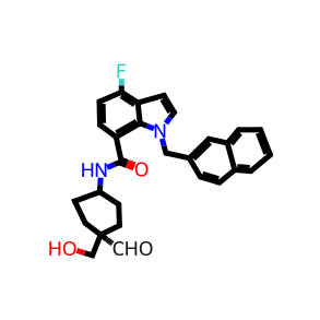 O=CC1(CO)CCC(NC(=O)c2ccc(F)c3ccn(Cc4ccc5ccccc5c4)c23)CC1